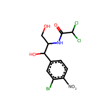 O=C(NC(CO)C(O)c1ccc([N+](=O)[O-])c(Br)c1)C(Cl)Cl